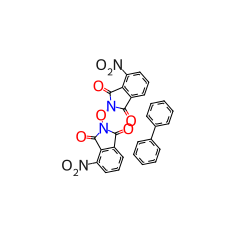 O=C1c2cccc([N+](=O)[O-])c2C(=O)N1ON1C(=O)c2cccc([N+](=O)[O-])c2C1=O.c1ccc(-c2ccccc2)cc1